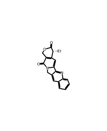 CC[C@H]1C(=O)OCc2c1cc1n(c2=O)Cc2cc3ccccc3nc2-1